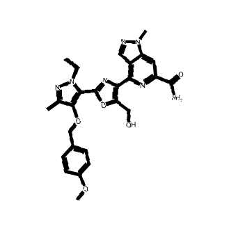 CCn1nc(C)c(OCc2ccc(OC)cc2)c1-c1nc(-c2nc(C(N)=O)cc3c2cnn3C)c(CO)o1